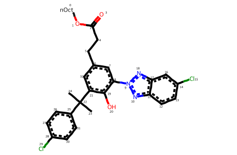 CCCCCCCCOC(=O)CCc1cc(-n2nc3ccc(Cl)cc3n2)c(O)c(C(C)(C)c2ccc(Cl)cc2)c1